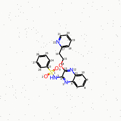 O=S(=O)(Nc1nc2ccccc2nc1OCCc1ccccn1)c1ccccc1